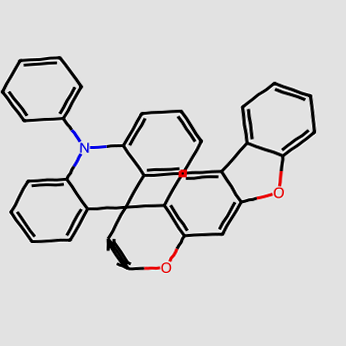 c1ccc(N2c3ccccc3C3(c4ccccc4Oc4cc5oc6ccccc6c5cc43)c3ccccc32)cc1